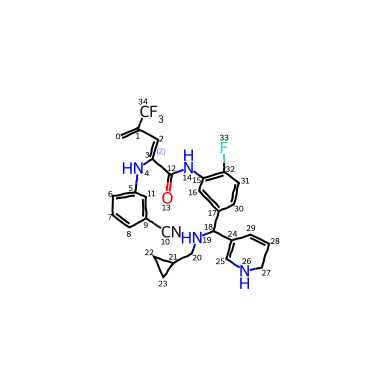 C=C(/C=C(\Nc1cccc(C#N)c1)C(=O)Nc1cc(C(NCC2CC2)C2=CNCC=C2)ccc1F)C(F)(F)F